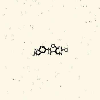 Cn1cc2cc(NCc3cnc(Cl)nc3Cl)ccc2n1